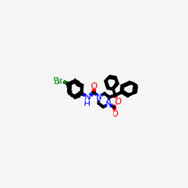 O=C(Nc1ccc(Br)cc1)N1CCN2C(=O)OC(c3ccccc3)(c3ccccc3)C2C1